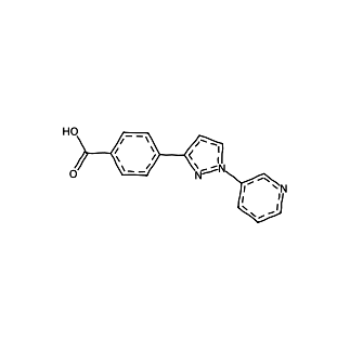 O=C(O)c1ccc(-c2ccn(-c3cccnc3)n2)cc1